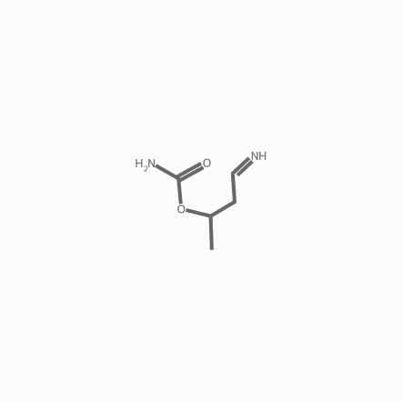 CC(CC=N)OC(N)=O